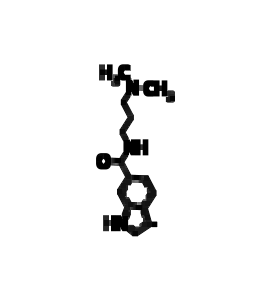 CN(C)CCCNC(=O)c1ccc2[c]c[nH]c2c1